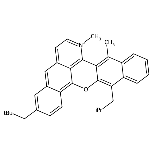 Cc1c2c(c(CC(C)C)c3ccccc13)Oc1c3ccc(CC(C)(C)C)cc3cc3cc[n+](C)c-2c13